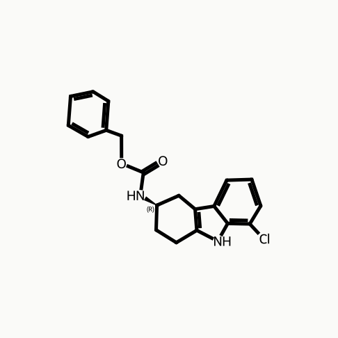 O=C(N[C@@H]1CCc2[nH]c3c(Cl)cccc3c2C1)OCc1ccccc1